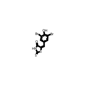 O=C1NC(=S)SC1=Cc1cc(Br)c(O)c(Br)c1